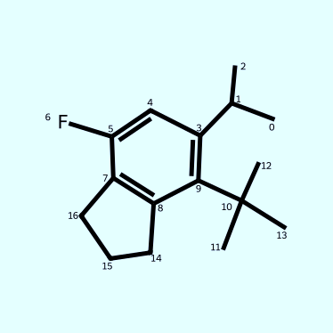 CC(C)c1cc(F)c2c(c1C(C)(C)C)CCC2